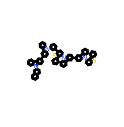 c1cc(-c2ccc(-n3c4ccccc4c4cc(-c5ccc6c(c5)c5ccccc5n6-c5cccc6sc7ccccc7c56)ccc43)c3c2sc2ccccc23)cc(-n2c3ccccc3c3cc(-c4ccc5c(c4)c4ccccc4n5-c4ccc5ccccc5c4)ccc32)c1